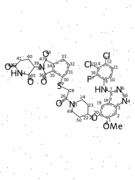 COc1cc2ncnc(Nc3ccc(Cl)c(Cl)c3F)c2cc1OC1CCN(C(=O)CSc2cccc3c2C(=O)N(C2CCC(=O)NC2=O)C3=O)CC1